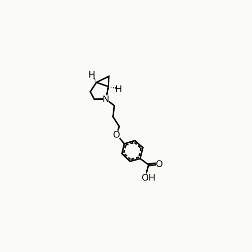 O=C(O)c1ccc(OCCCN2CC[C@H]3C[C@H]32)cc1